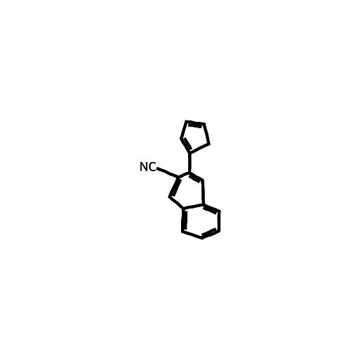 N#Cc1cc2ccccc2cc1C1=CC=CC1